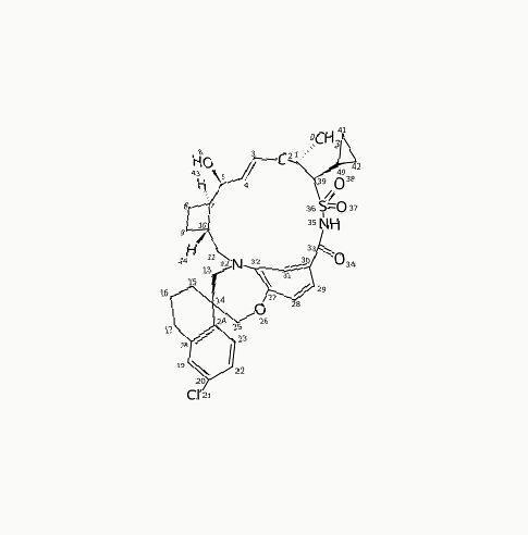 C[C@H]1C/C=C/[C@H](O)[C@@H]2CC[C@H]2CN2C[C@@]3(CCCc4cc(Cl)ccc43)COc3ccc(cc32)C(=O)NS(=O)(=O)[C@@H]1C1CC1